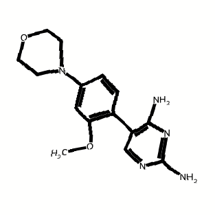 COc1cc(N2CCOCC2)ccc1-c1cnc(N)nc1N